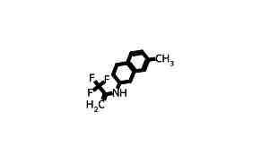 C=C(NC1CCc2ccc(C)cc2C1)C(F)(F)F